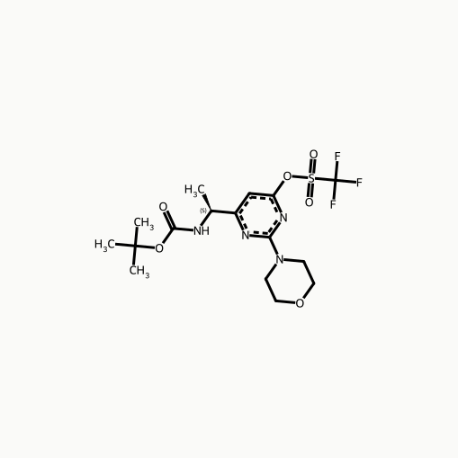 C[C@H](NC(=O)OC(C)(C)C)c1cc(OS(=O)(=O)C(F)(F)F)nc(N2CCOCC2)n1